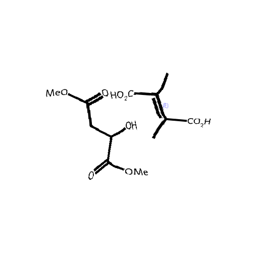 C/C(C(=O)O)=C(/C)C(=O)O.COC(=O)CC(O)C(=O)OC